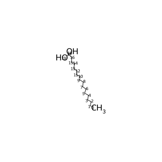 CCCCCCCCCCCCCCCCCC(O)O